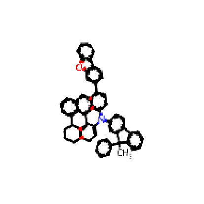 CC1(c2ccccc2)c2ccccc2-c2ccc(N(C3=CCCC=C3c3cccc4cccc(C5CCCCC5)c34)c3ccc(-c4ccc5c(c4)oc4ccccc45)cc3)cc21